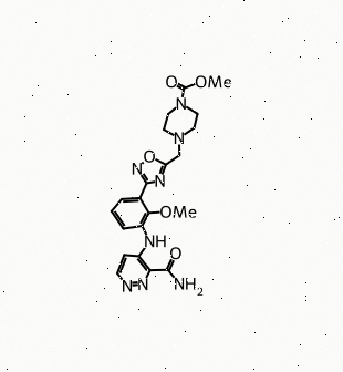 COC(=O)N1CCN(Cc2nc(-c3cccc(Nc4ccnnc4C(N)=O)c3OC)no2)CC1